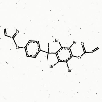 C=CC(=O)Oc1ccc(C(C)(C)c2c(Br)c(Br)c(OC(=O)C=C)c(Br)c2Br)cc1